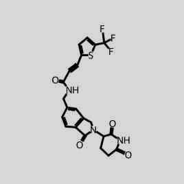 O=C(C#Cc1ccc(C(F)(F)F)s1)NCc1ccc2c(c1)CN(C1CCC(=O)NC1=O)C2=O